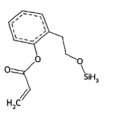 C=CC(=O)Oc1ccccc1CCO[SiH3]